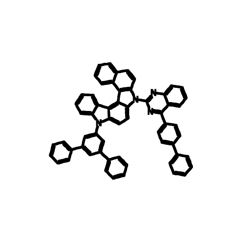 c1ccc(-c2ccc(-c3nc(-n4c5ccc6ccccc6c5c5c6c7ccccc7n(-c7cc(-c8ccccc8)cc(-c8ccccc8)c7)c6ccc54)nc4ccccc34)cc2)cc1